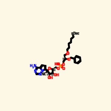 CCCCCCCCCCCCCCCCOC[C@H](COP(=O)(O)OC[C@H]1O[C@@](C#N)(c2ccc3c(N)ncnn23)[C@H](O)[C@@H]1O)OCc1ccccc1